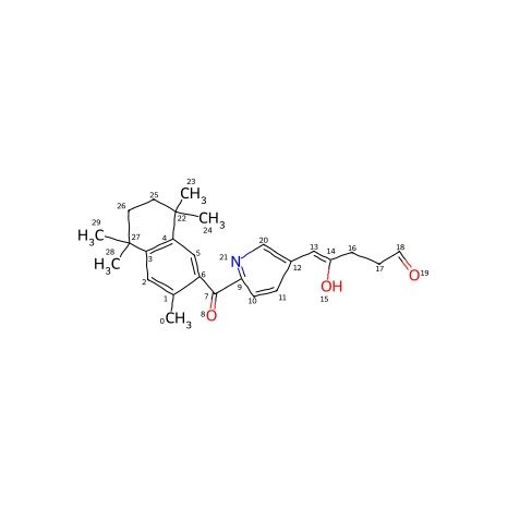 Cc1cc2c(cc1C(=O)c1ccc(/C=C(\O)CCC=O)cn1)C(C)(C)CCC2(C)C